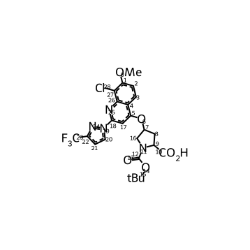 COc1ccc2c(OC3CC(C(=O)O)N(C(=O)OC(C)(C)C)C3)cc(-n3ccc(C(F)(F)F)n3)nc2c1Cl